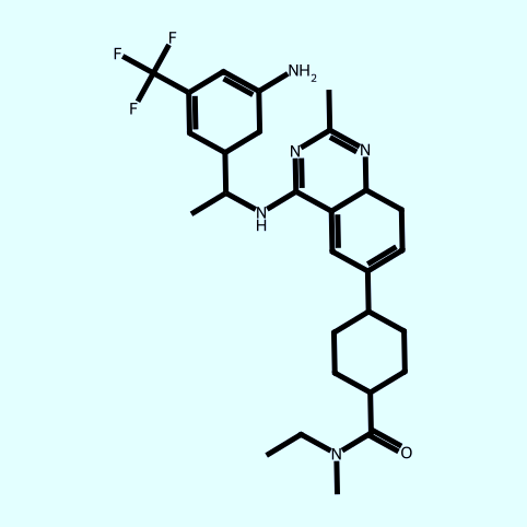 CCN(C)C(=O)C1CCC(C2=CCC3N=C(C)N=C(NC(C)C4C=C(C(F)(F)F)C=C(N)C4)C3=C2)CC1